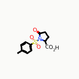 Cc1ccc(S(=O)(=O)N2C(=O)CCC2C(=O)O)cc1